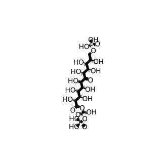 O=C(C(O)[C@@H](O)[C@@H](O)[C@H](O)[C@@H](O)C(=O)OP(=O)(O)OP(=O)(O)O)[C@H](O)[C@@H](O)[C@H](O)[C@H](O)COP(=O)(O)O